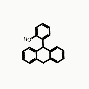 Oc1ccccc1C1c2ccccc2Cc2ccccc21